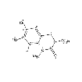 CCCCCCCCCCOC(=O)C(Cc1cc(C)c(O)c(C(C)(C)C)c1)C(=O)O